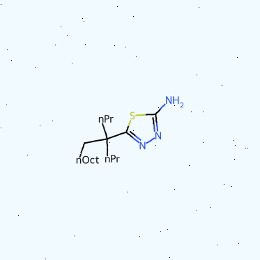 CCCCCCCCCC(CCC)(CCC)c1nnc(N)s1